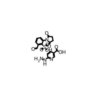 NNc1ccc(C(=O)O)cn1.O=Cc1cccc(N2C(=O)CCC2=O)c1S(=O)(=O)O